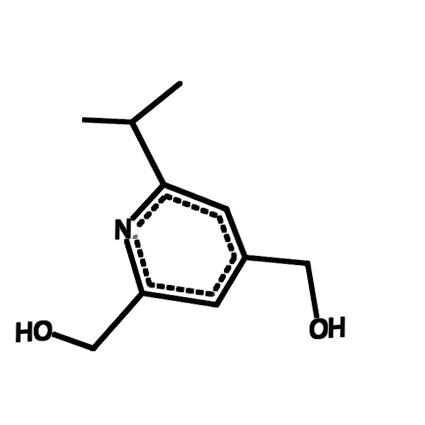 CC(C)c1cc(CO)cc(CO)n1